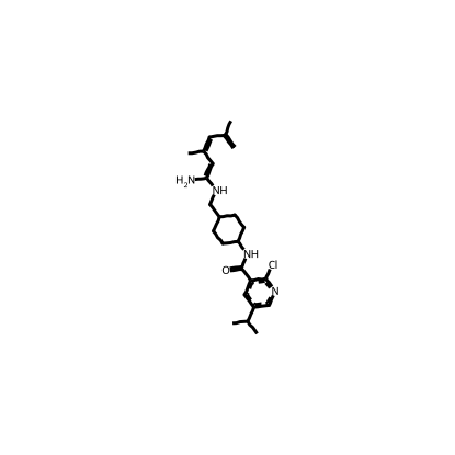 C=C(C)/C=C(C)\C=C(/N)NCC1CCC(NC(=O)c2cc(C(C)C)cnc2Cl)CC1